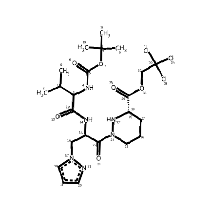 CC(C)C(NC(=O)OC(C)(C)C)C(=O)NC(Cn1cccn1)C(=O)N1CCC[C@@H](C(=O)OCC(Cl)(Cl)Cl)N1